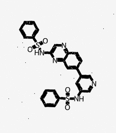 O=S(=O)(Nc1cncc(-c2ccc3ncc(NS(=O)(=O)c4ccccc4)nc3c2)c1)c1ccccc1